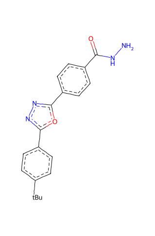 CC(C)(C)c1ccc(-c2nnc(-c3ccc(C(=O)NN)cc3)o2)cc1